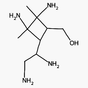 CC1(N)C(CO)C(C(N)CN)C1(C)N